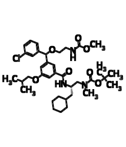 COC(=O)NCCOC(c1cccc(Cl)c1)c1cc(OCC(C)C)cc(C(=O)N[C@@H](CC2CCCCC2)CN(C)C(=O)OC(C)(C)C)c1